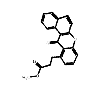 COC(=O)CCc1cccc2oc3ccc4ccccc4c3c(=O)c12